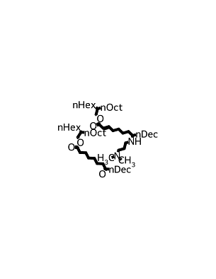 CCCCCCCCCCC(=O)CCCCCCC(=O)OCC(CCCCCC)CCCCCCCC.CCCCCCCCCCC(CCCCC=CC(=O)OCC(CCCCCC)CCCCCCCC)NCCCN(C)C